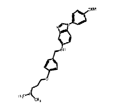 COc1ccc(-n2cnc3cc(NCc4ccc(OCCCN(C)C)cc4)ccc32)cc1